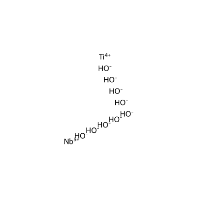 [Nb+5].[OH-].[OH-].[OH-].[OH-].[OH-].[OH-].[OH-].[OH-].[OH-].[Ti+4]